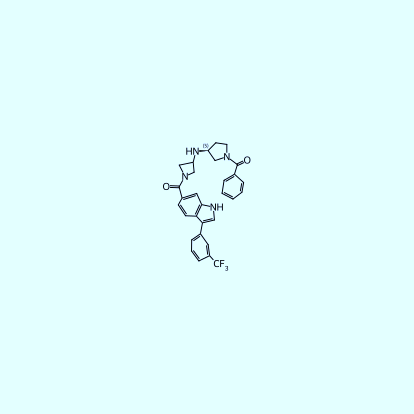 O=C(c1ccc2c(-c3cccc(C(F)(F)F)c3)c[nH]c2c1)N1CC(N[C@H]2CCN(C(=O)c3ccccc3)C2)C1